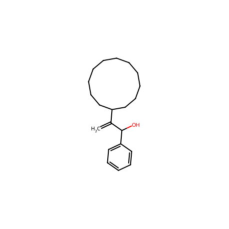 C=C(C1CCCCCCCCCCC1)C(O)c1ccccc1